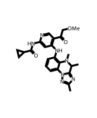 COCC(=O)c1cnc(NC(=O)C2CC2)cc1Nc1cccc2c1N(C)C(C)c1nc(C)nn1-2